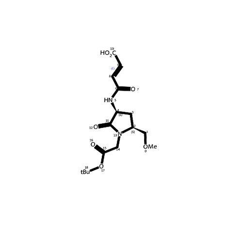 COC[C@@H]1C[C@H](NC(=O)/C=C/C(=O)O)C(=O)N1CC(=O)OC(C)(C)C